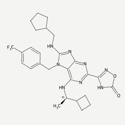 C[C@@H](Nc1nc(-c2noc(=O)[nH]2)nc2nc(NCC3CCCC3)n(Cc3ccc(C(F)(F)F)cc3)c12)C1CCC1